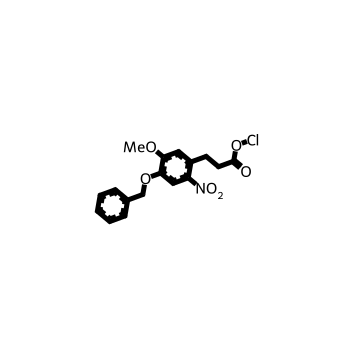 COc1cc(CCC(=O)OCl)c([N+](=O)[O-])cc1OCc1ccccc1